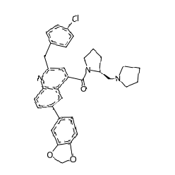 O=C(c1cc(Cc2ccc(Cl)cc2)nc2ccc(-c3ccc4c(c3)OCO4)cc12)N1CCC[C@H]1CN1CCCC1